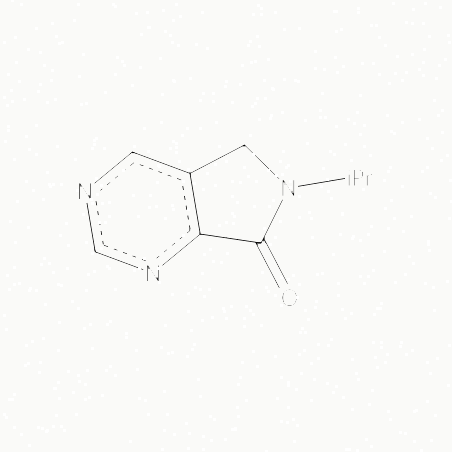 CC(C)N1Cc2cncnc2C1=O